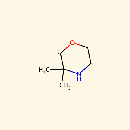 CC1(C)[CH]OCCN1